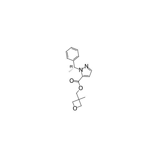 C[C@H](c1ccccc1)n1nccc1C(=O)OCC1(C)COC1